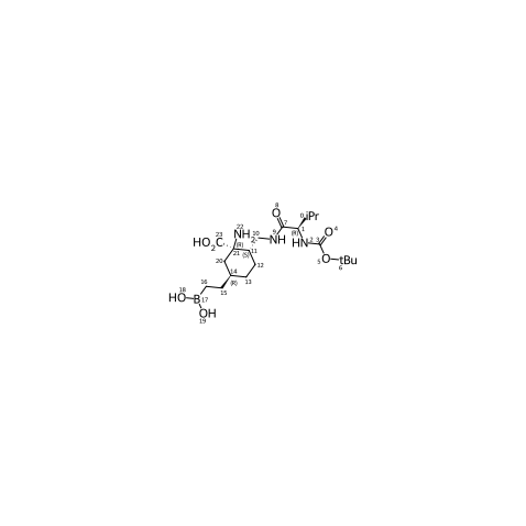 CC(C)[C@@H](NC(=O)OC(C)(C)C)C(=O)NC[C@@H]1CC[C@@H](CCB(O)O)C[C@]1(N)C(=O)O